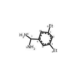 CCc1cc(CC)cc(C(N)N)c1